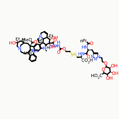 CCCC(=O)N[C@@H](Cc1cn(CCOC2OC(C(=O)O)C(O)[C@H](O)[C@@H]2O)nn1)C(=O)N[C@H](CSSCCOC(=O)NNC(=O)[C@@]1(O)[C@H](O)[C@]2(CC)C=CCN3CC[C@@]4(c5cc([C@@]6(C(=O)OC)C[C@@H]7CN(CCc8c6[nH]c6ccccc86)C[C@](O)(CC)C7)c(OC)cc5N(C)[C@@H]14)[C@@H]32)C(=O)O